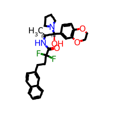 C[C@@H](NC(=O)C(F)(F)CCc1ccc2ccccc2c1)[C@@](O)(c1ccc2c(c1)OCCO2)N1CCCC1